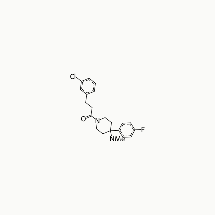 CNC1(c2ccc(F)cc2)CCN(C(=O)CCc2cccc(Cl)c2)CC1